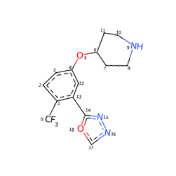 FC(F)(F)c1ccc(OC2CCNCC2)cc1-c1nnco1